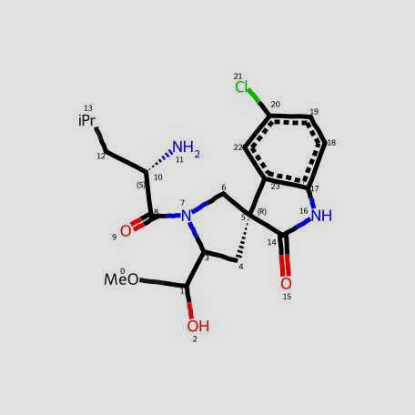 COC(O)C1C[C@@]2(CN1C(=O)[C@@H](N)CC(C)C)C(=O)Nc1ccc(Cl)cc12